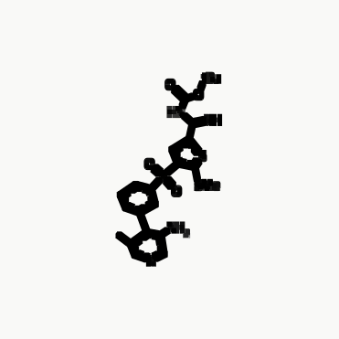 CSc1sc(C(=N)NC(=O)OC(C)(C)C)cc1S(=O)(=O)c1cccc(-c2c(C)cncc2N)c1